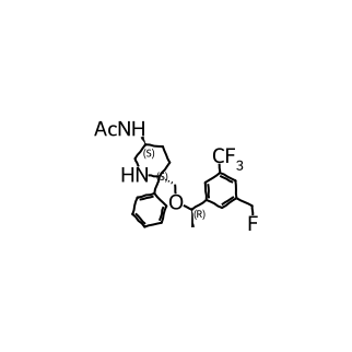 CC(=O)N[C@H]1CC[C@@](CO[C@H](C)c2cc(CF)cc(C(F)(F)F)c2)(c2ccccc2)NC1